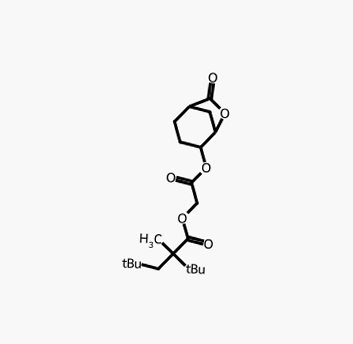 CC(C)(C)CC(C)(C(=O)OCC(=O)OC1CCC2CC1OC2=O)C(C)(C)C